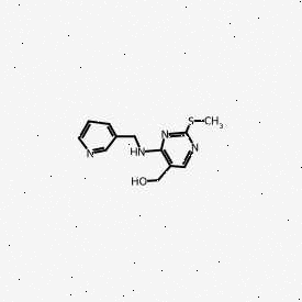 CSc1ncc(CO)c(NCc2cccnc2)n1